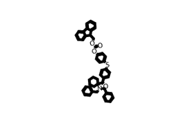 O=C(OCC1c2ccccc2-c2ccccc21)Oc1ccc(Sc2ccc(C(=O)C3(N(Cc4ccccc4)Cc4ccccc4)CCCCC3)cc2)cc1